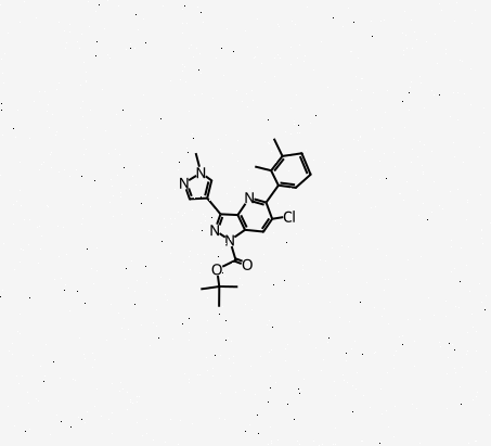 Cc1cccc(-c2nc3c(-c4cnn(C)c4)nn(C(=O)OC(C)(C)C)c3cc2Cl)c1C